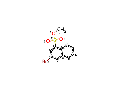 COS(=O)(=O)c1cc(Br)cc2ccccc12